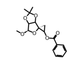 CO[C@@H]1O[C@@]2(CC2OC(=O)c2ccccc2)C2OC(C)(C)OC21